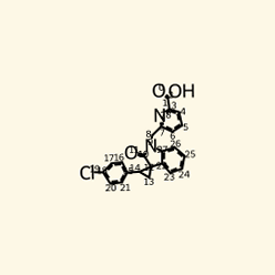 O=C(O)c1cccc(CN2C(=O)C3(CC3c3ccc(Cl)cc3)c3ccccc32)n1